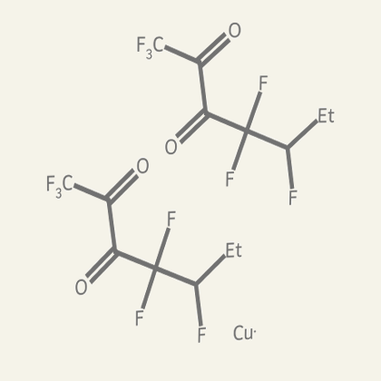 CCC(F)C(F)(F)C(=O)C(=O)C(F)(F)F.CCC(F)C(F)(F)C(=O)C(=O)C(F)(F)F.[Cu]